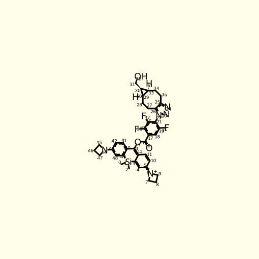 C[Si]1(C)C2=CC(=[N+]3CCC3)C=CC2=C(OC(=O)c2cc(F)c(-n3nnc4c3CC[C@H]3[C@@H](CO)[C@H]3CC4)c(F)c2F)c2ccc(N3CCC3)cc21